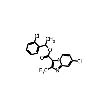 CC(OC(=O)c1c(C(F)(F)F)nc2cc(Cl)ccn12)c1ccccc1Cl